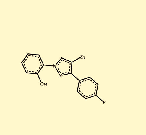 Oc1ccccc1-n1c[c]([Zn])c(-c2ccc(F)cc2)n1